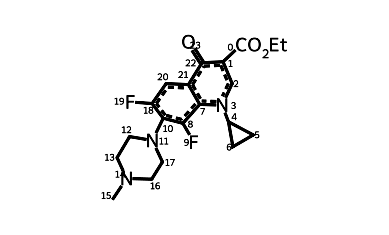 CCOC(=O)c1cn(C2CC2)c2c(F)c(N3CCN(C)CC3)c(F)cc2c1=O